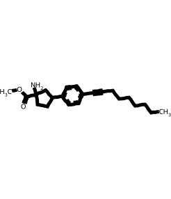 CCCCCCCC#Cc1ccc(C2CCC(N)(C(=O)OC)C2)cc1